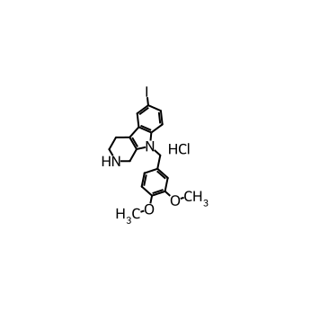 COc1ccc(Cn2c3c(c4cc(I)ccc42)CCNC3)cc1OC.Cl